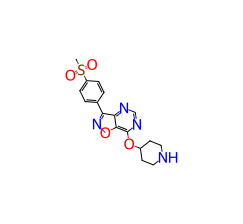 CS(=O)(=O)c1ccc(-c2noc3c(OC4CCNCC4)ncnc23)cc1